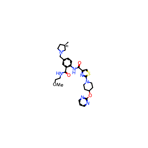 COCCNC(=O)c1cc(CN2CC[C@@H](C)C2)ccc1NC(=O)c1csc(N2CCC(Oc3ncccn3)CC2)n1